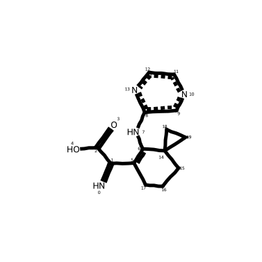 N=C(C(=O)O)C1=C(Nc2cnccn2)C2(CCC1)CC2